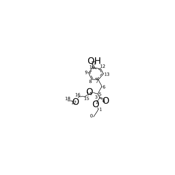 CCOC(=O)C(Cc1ccc(O)cc1)OCCOC